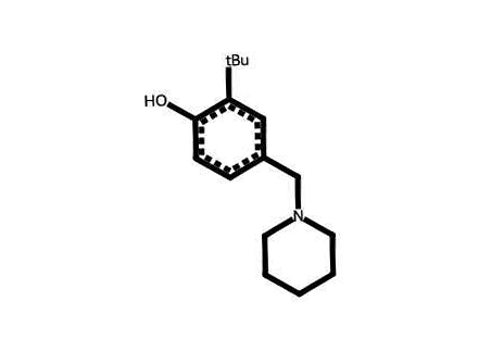 CC(C)(C)c1cc(CN2CCCCC2)ccc1O